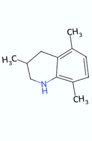 Cc1ccc(C)c2c1CC(C)CN2